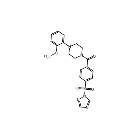 COc1ccccc1N1CCN(C(=O)c2ccc(S(=O)(=O)n3cncn3)cc2)CC1